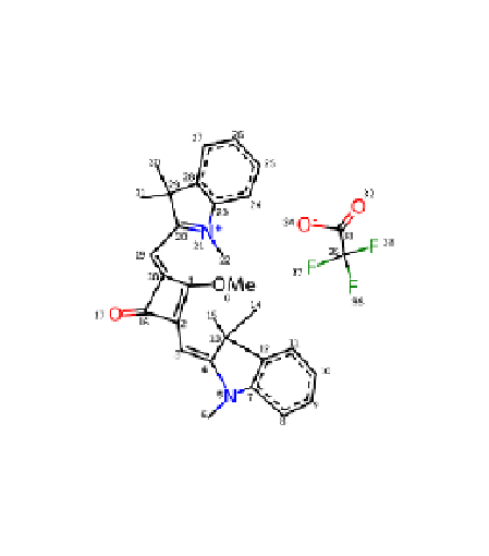 COC1=C(C=C2N(C)c3ccccc3C2(C)C)C(=O)C1=CC1=[N+](C)c2ccccc2C1(C)C.O=C([O-])C(F)(F)F